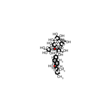 C[C@@H]1CC[C@@]2(OC1)O[C@H]1[C@@H](O)[C@H]3[C@@H]4CC[C@H]5C[C@@H](O[C@@H]6O[C@H](CO)[C@H](O[C@@H]7O[C@H](CO)[C@@H](O)[C@H](O[C@@H]8OC[C@@H](O)[C@H](O)[C@H]8O)[C@H]7O[C@@H]7O[C@H](CO)[C@H](O)[C@](O)(O[C@@H]8O[C@H](CO)[C@@H](O)[C@H](O)[C@H]8O)[C@H]7O)[C@H](O)[C@H]6O)[C@H](O)C[C@]5(C)[C@H]4CC[C@]3(C)[C@H]1[C@@H]2C